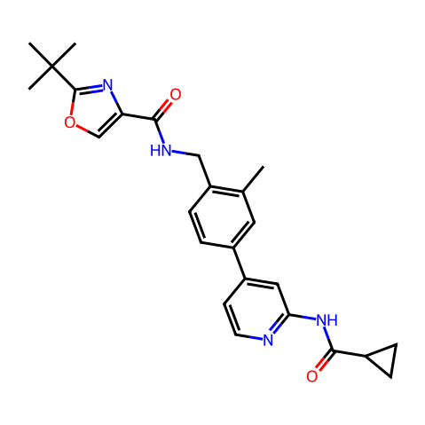 Cc1cc(-c2ccnc(NC(=O)C3CC3)c2)ccc1CNC(=O)c1coc(C(C)(C)C)n1